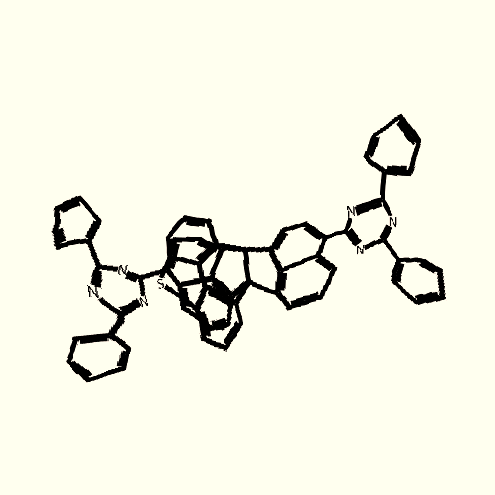 c1ccc(-c2nc(-c3ccccc3)nc(-c3ccc4c5c(cccc35)C35c6cccc7c(-c8nc(-c9ccccc9)nc(-c9ccccc9)n8)ccc(c67)C43c3cccc4sc6cccc5c6c34)n2)cc1